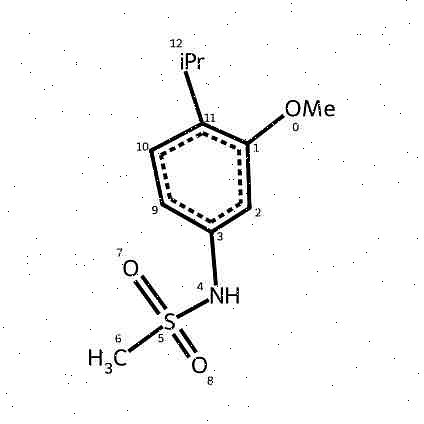 COc1cc(NS(C)(=O)=O)ccc1C(C)C